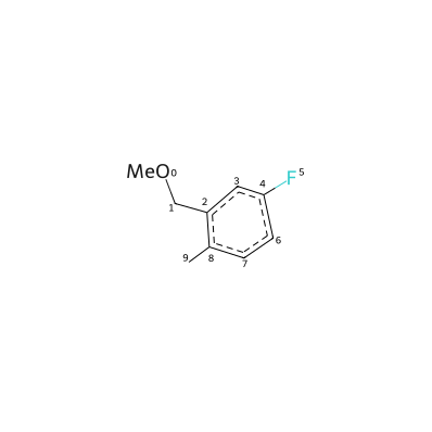 COCc1cc(F)ccc1C